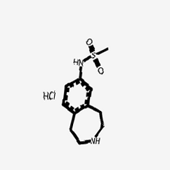 CS(=O)(=O)Nc1ccc2c(c1)CCNCC2.Cl